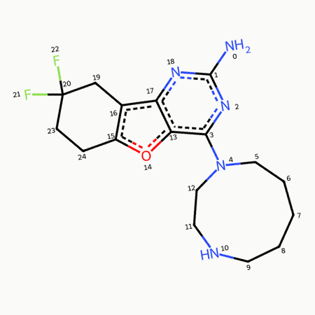 Nc1nc(N2CCCCCNCC2)c2oc3c(c2n1)CC(F)(F)CC3